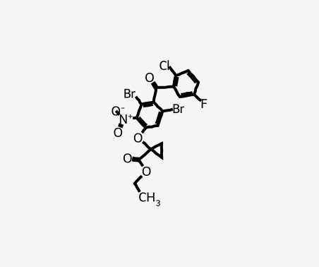 CCOC(=O)C1(Oc2cc(Br)c(C(=O)c3cc(F)ccc3Cl)c(Br)c2[N+](=O)[O-])CC1